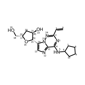 C=Cc1nc(NC2CCCC2)c2ncc([C@@H]3O[C@H](CO)C[C@H]3O)n2n1